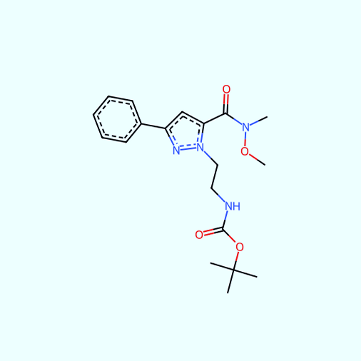 CON(C)C(=O)c1cc(-c2ccccc2)nn1CCNC(=O)OC(C)(C)C